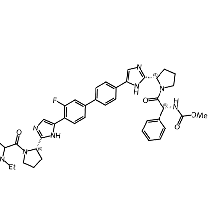 CCN(CC)C(C)C(=O)N1CCC[C@H]1c1ncc(-c2ccc(-c3ccc(-c4cnc([C@@H]5CCCN5C(=O)[C@H](NC(=O)OC)c5ccccc5)[nH]4)cc3)cc2F)[nH]1